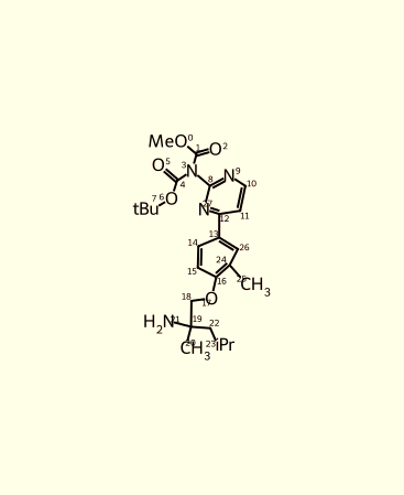 COC(=O)N(C(=O)OC(C)(C)C)c1nccc(-c2ccc(OCC(C)(N)CC(C)C)c(C)c2)n1